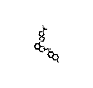 CC(=O)N1CCC2(CCN(c3cccc4cnc(Nc5ccc6c(c5)CCN(C)C6)nc34)C2)C1